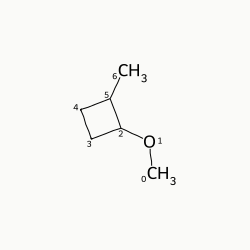 COC1CCC1C